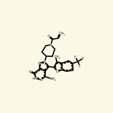 C=CC(=O)N1CCC(n2nc3c(=O)[nH]nc(N)c3c2-c2oc3ccc(C(F)(F)F)cc3c2C)CC1